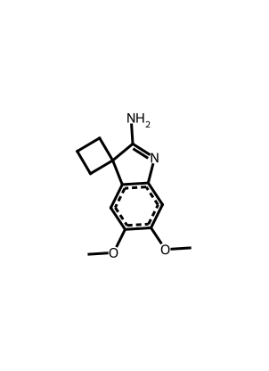 COc1cc2c(cc1OC)C1(CCC1)C(N)=N2